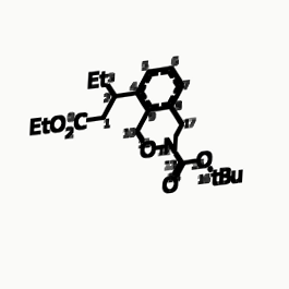 CCOC(=O)CC(CC)c1cccc2c1CON(C(=O)OC(C)(C)C)C2